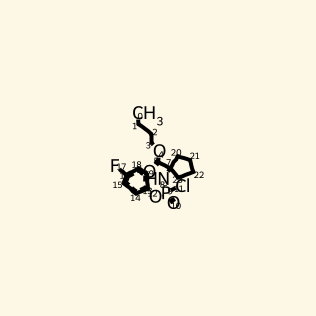 CCCCOC(=O)C1(NP(=O)(Cl)Oc2ccc(F)cc2)CCCC1